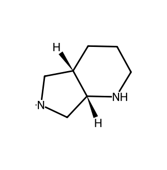 C1CN[C@@H]2C[N]C[C@@H]2C1